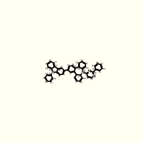 C1=CC2c3cc(-c4ccc5c(c4)c4ccccc4n5-c4ccccc4)ccc3-c3ccccc3N(c3ccnc(-c4ccccc4)n3)C2C=C1